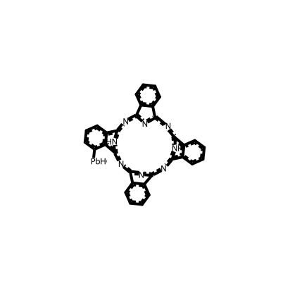 [PbH][c]1cccc2c3nc4nc(nc5[nH]c(nc6nc(nc([nH]3)c12)-c1ccccc1-6)c1ccccc51)-c1ccccc1-4